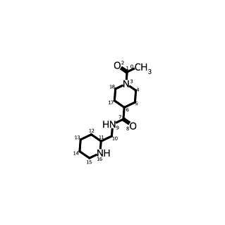 CC(=O)N1CCC(C(=O)NCC2CCCCN2)CC1